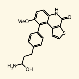 COc1ccc2[nH]c(=O)c3sccc3c2c1-c1ccc(CCC(N)O)cc1